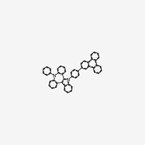 c1ccc(N2c3ccccc3-c3c(n(-c4ccc(-c5ccc6c7ccccc7c7ccccc7c6c5)cc4)c4ccccc34)-c3ccccc32)cc1